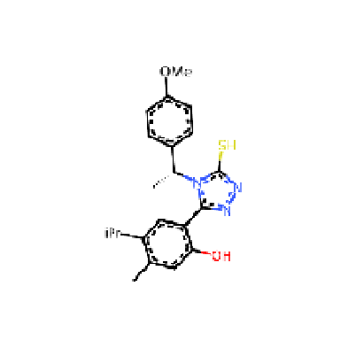 COc1ccc([C@@H](C)n2c(S)nnc2-c2cc(C(C)C)c(C)cc2O)cc1